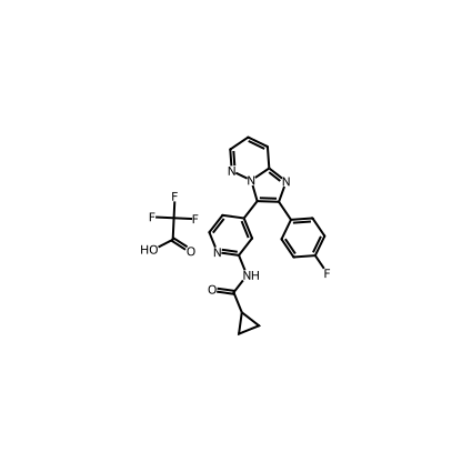 O=C(Nc1cc(-c2c(-c3ccc(F)cc3)nc3cccnn23)ccn1)C1CC1.O=C(O)C(F)(F)F